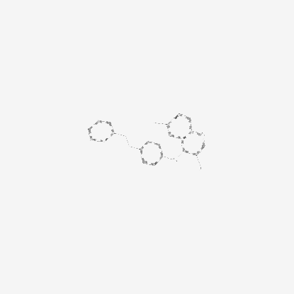 OCc1cnc2ccc(Cl)cc2c1Nc1ccc(CCc2ccccc2)cc1